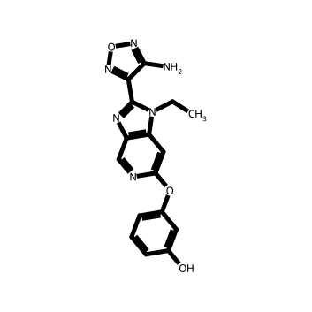 CCn1c(-c2nonc2N)nc2cnc(Oc3cccc(O)c3)cc21